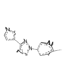 Cc1ccc(-n2nnc(-c3ccns3)n2)cn1